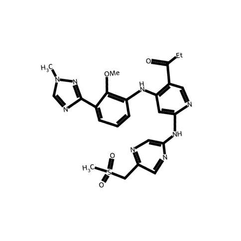 CCC(=O)c1cnc(Nc2cnc(CS(C)(=O)=O)cn2)cc1Nc1cccc(-c2ncn(C)n2)c1OC